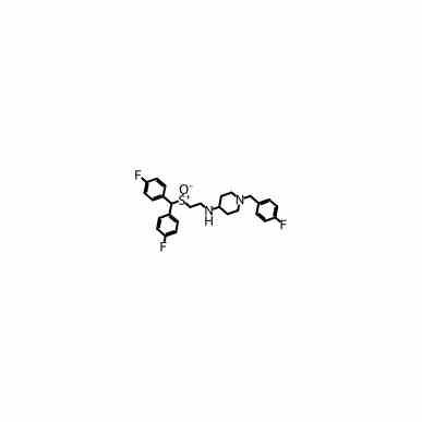 [O-][S+](CCNC1CCN(Cc2ccc(F)cc2)CC1)C(c1ccc(F)cc1)c1ccc(F)cc1